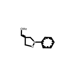 COC=C1CON(c2ccccc2)C1